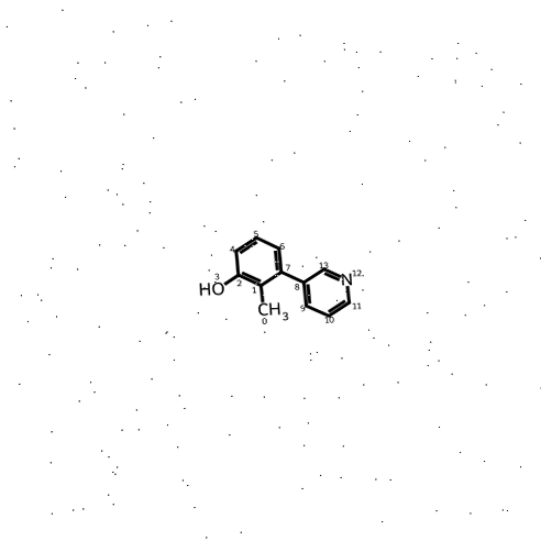 Cc1c(O)cccc1-c1cccnc1